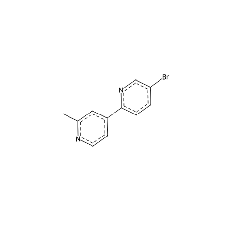 Cc1cc(-c2ccc(Br)cn2)ccn1